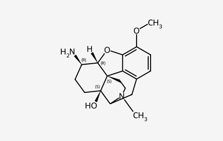 COc1ccc2c3c1O[C@H]1[C@H](N)CC[C@@]4(O)C(C2)N(C)CC[C@]314